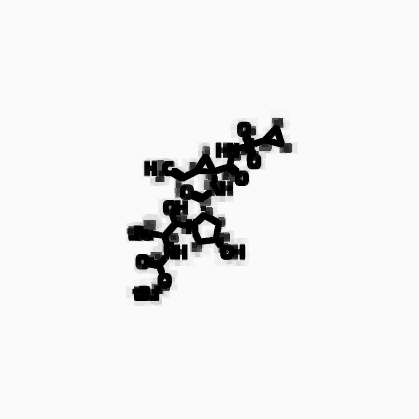 C=CC1C[C@]1(NC(=O)[C@@H]1C[C@@H](O)CN1C(O)[C@@H](NC(=O)OC(C)(C)C)C(C)(C)C)C(=O)NS(=O)(=O)C1CC1